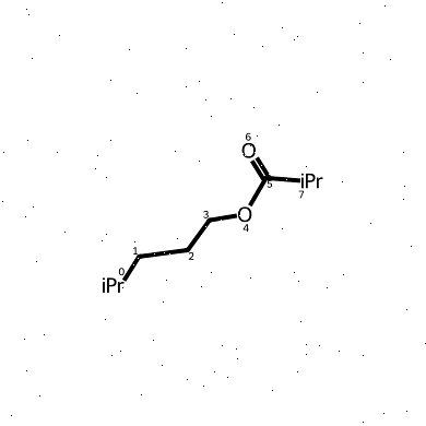 CC(C)CCCOC(=O)C(C)C